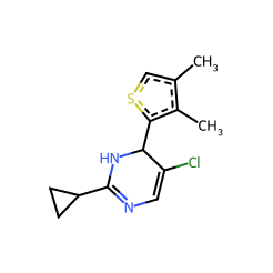 Cc1csc(C2NC(C3CC3)=NC=C2Cl)c1C